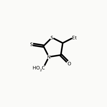 CCC1SC(=S)N(C(=O)O)C1=O